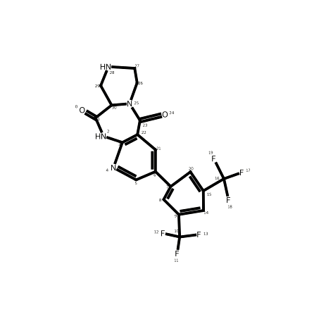 O=C1Nc2ncc(-c3cc(C(F)(F)F)cc(C(F)(F)F)c3)cc2C(=O)N2CCNCC12